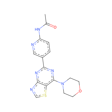 CC(=O)Nc1ccc(-c2nc(N3CCOCC3)c3scnc3n2)cn1